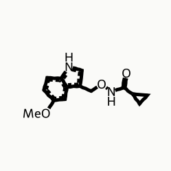 COc1ccc2[nH]cc(CONC(=O)C3CC3)c2c1